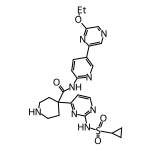 CCOc1cncc(-c2ccc(NC(=O)C3(c4ccnc(NS(=O)(=O)C5CC5)n4)CCNCC3)nc2)n1